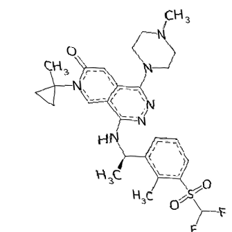 Cc1c([C@@H](C)Nc2nnc(N3CCN(C)CC3)c3cc(=O)n(C4(C)CC4)cc23)cccc1S(=O)(=O)C(F)F